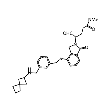 CNC(=O)CCC(C=O)N1Cc2c(SCc3cccc(CNC4CC5(CCC5)C4)c3)cccc2C1=O